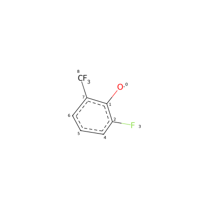 [O]c1c(F)cccc1C(F)(F)F